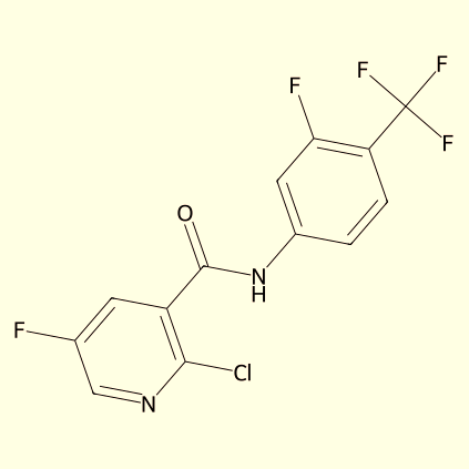 O=C(Nc1ccc(C(F)(F)F)c(F)c1)c1cc(F)cnc1Cl